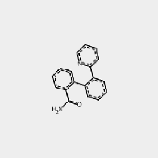 NC(=O)c1ccccc1-c1ccccc1-c1ccccn1